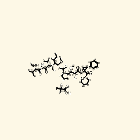 CC[C@H](C)[C@@H]([C@@H](CC(=O)N1CCC[C@H]1[C@H](OC)[C@@H](C)C(=O)N[C@@]1(C(=O)N2CCCCO2)C[C@@H]1c1ccccc1)OC)N(C)[C@H](C(=O)NC(=O)[C@@H](NC)C(C)C)C(C)C.O=C(O)C(F)(F)F